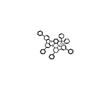 CC(C1=CCCC=C1)(C1=CC=CCC1)c1ccc2c3c1N1C4CC=C(c5ccccc5)C=C4C4CC(c5ccccc5)CC(B3C3=C5C(CC(c6ccccc6)=C3)C3=C(C=CC(c6ccccc6)C3)N52)C41